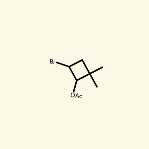 CC(=O)OC1C(Br)CC1(C)C